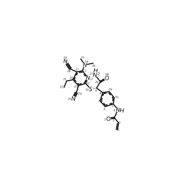 C=CC(=O)Nc1ccc([C@H](Sc2nc(N(C)C)c(C#N)c(CC)c2C#N)C(N)=O)cc1